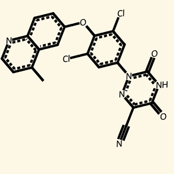 Cc1ccnc2ccc(Oc3c(Cl)cc(-n4nc(C#N)c(=O)[nH]c4=O)cc3Cl)cc12